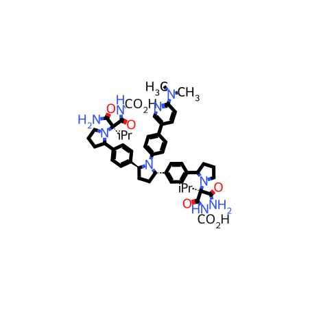 CC(C)[C@](C(N)=O)(C(=O)NC(=O)O)N1CCCC1c1ccc([C@@H]2CC[C@@H](c3ccc(C4CCCN4[C@@](C(N)=O)(C(=O)NC(=O)O)C(C)C)cc3)N2c2ccc(-c3ccc(N(C)C)nc3)cc2)cc1